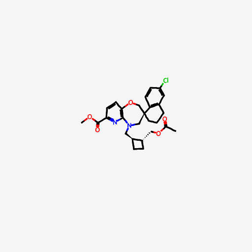 COC(=O)c1ccc2c(n1)N(C[C@@H]1CC[C@H]1COC(C)=O)C[C@@]1(CCCc3cc(Cl)ccc31)CO2